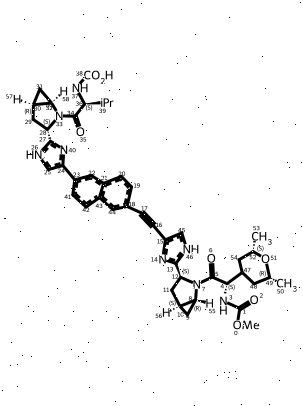 COC(=O)N[C@H](C(=O)N1[C@@H]2C[C@H]2C[C@H]1c1nc(C#Cc2ccc3cc(-c4c[nH]c([C@@H]5C[C@H]6C[C@H]6N5C(=O)[C@@H](NC(=O)O)C(C)C)n4)ccc3c2)c[nH]1)C1C[C@@H](C)O[C@@H](C)C1